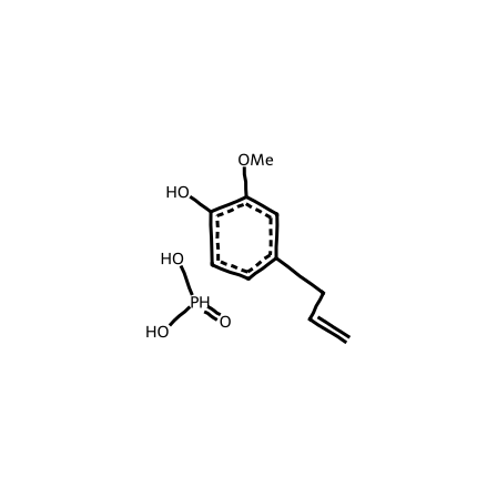 C=CCc1ccc(O)c(OC)c1.O=[PH](O)O